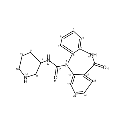 O=C1Nc2ccccc2N(C(=O)NC2CCCNC2)c2ccccc21